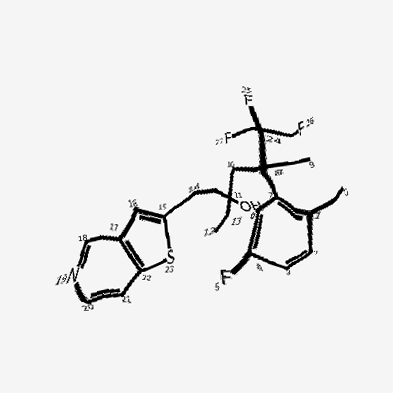 Cc1ccc(F)cc1C(C)(CC(C)(O)Cc1cc2cnccc2s1)C(F)(F)F